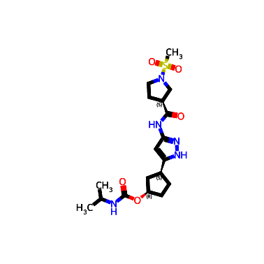 CC(C)NC(=O)O[C@@H]1CC[C@H](c2cc(NC(=O)[C@H]3CCN(S(C)(=O)=O)C3)n[nH]2)C1